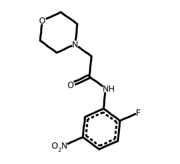 O=C(CN1CCOCC1)Nc1cc([N+](=O)[O-])ccc1F